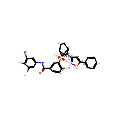 O=C(Nc1cc(F)c(F)c(F)c1)c1ccc(Cl)c(S(=O)(=O)[C@@H]2C3CCC2[C@@H](c2cc(-c4ccccc4)on2)C3)c1